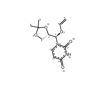 C=CO[C@H]([C@@H]1COC(C)(C)O1)n1ccc(=O)[nH]c1=O